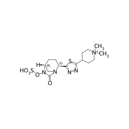 C[N+]1(C)CCC(c2nnc([C@@H]3CC[C@@H]4CN3C(=O)N4OS(=O)(=O)O)s2)CC1